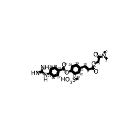 CN(C)C(=O)COC(=O)C=Cc1ccc(OC(=O)c2ccc(NC(=N)N)cc2)cc1.CS(=O)(=O)O